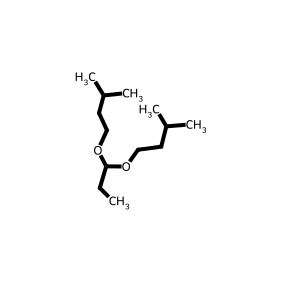 CCC(OCCC(C)C)OCCC(C)C